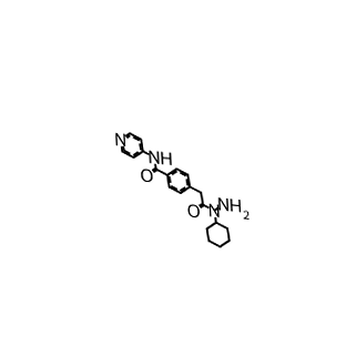 NN(C(=O)Cc1ccc(C(=O)Nc2ccncc2)cc1)C1CCCCC1